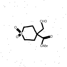 COC(=O)C1(CC=O)CCS(=O)(=O)CC1